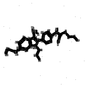 CCCOC(=O)Nc1ccc(-c2c(N)c3ccc(OCC)cc3n2CCC)cc1